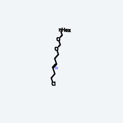 CCCCCCCOCOCC/C=C/CCCl